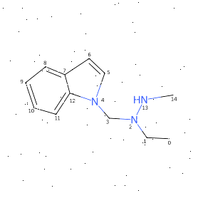 CCN(Cn1ccc2ccccc21)NC